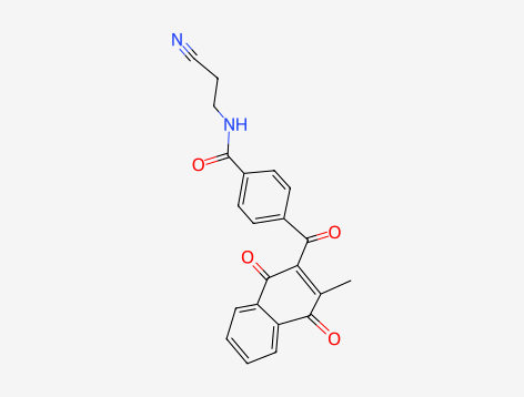 CC1=C(C(=O)c2ccc(C(=O)NCCC#N)cc2)C(=O)c2ccccc2C1=O